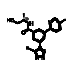 Cc1ccc(-c2cc(C(=O)N[C@@H](C)CO)cc(-n3nnnc3F)c2)nc1